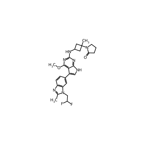 COc1nc(NC2CC(C)(N3CCCC3=O)C2)nc2[nH]cc(-c3ccc4nc(C)n(CC(F)F)c4c3)c12